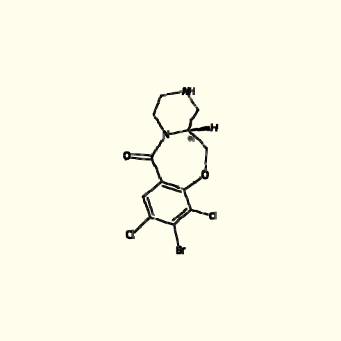 O=C1c2cc(Cl)c(Br)c(Cl)c2OC[C@H]2CNCCN12